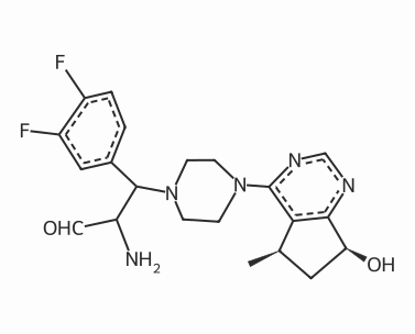 C[C@@H]1C[C@H](O)c2ncnc(N3CCN(C(c4ccc(F)c(F)c4)C(N)C=O)CC3)c21